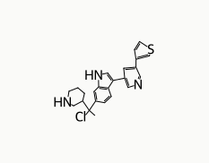 CC(Cl)(c1ccc2c(-c3cncc(-c4ccsc4)c3)c[nH]c2c1)C1CCCNC1